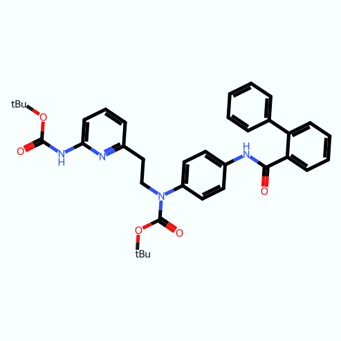 CC(C)(C)OC(=O)Nc1cccc(CCN(C(=O)OC(C)(C)C)c2ccc(NC(=O)c3ccccc3-c3ccccc3)cc2)n1